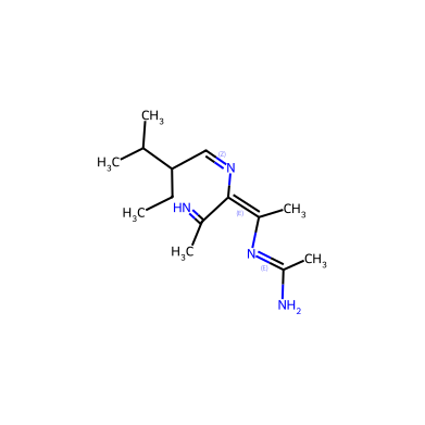 CCC(\C=N/C(C(C)=N)=C(C)/N=C(\C)N)C(C)C